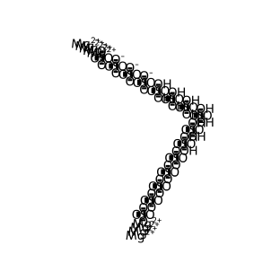 O=S(=O)(O)O.O=S(=O)(O)O.O=S(=O)(O)O.O=S(=O)(O)O.O=S(=O)(O)O.O=S(=O)(O)O.O=S(=O)([O-])[O-].O=S(=O)([O-])[O-].O=S(=O)([O-])[O-].O=S(=O)([O-])[O-].O=S(=O)([O-])[O-].O=S(=O)([O-])[O-].O=S(=O)([O-])[O-].O=S(=O)([O-])[O-].O=S(=O)([O-])[O-].[Mg+2].[Mg+2].[Mg+2].[Mg+2].[Mg+2].[Mg+2].[Mg+2].[Mg+2].[Mg+2]